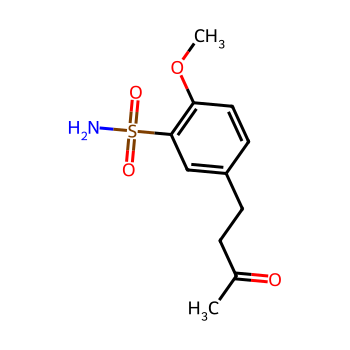 COc1ccc(CCC(C)=O)cc1S(N)(=O)=O